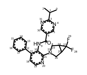 CC(C)c1ncc(C(=O)Nc2c(-c3ccccc3)ccnc2N2CC3C(C2)C3(F)F)cn1